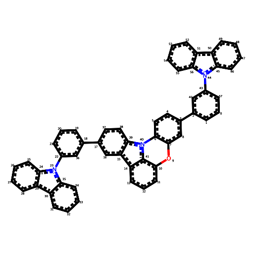 c1cc(-c2ccc3c(c2)Oc2cccc4c5cc(-c6cccc(-n7c8ccccc8c8ccccc87)c6)ccc5n-3c24)cc(-n2c3ccccc3c3ccccc32)c1